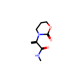 C=C(C(=O)NC)N1CCCOC1=O